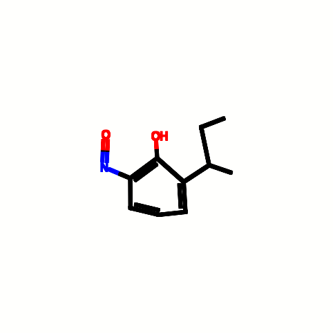 CCC(C)c1cccc(N=O)c1O